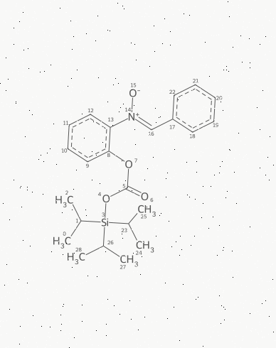 CC(C)[Si](OC(=O)Oc1ccccc1[N+]([O-])=Cc1ccccc1)(C(C)C)C(C)C